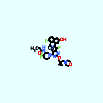 C#Cc1c(F)ccc2cc(O)cc(-c3ncc4c(N5CCCC(F)(F)C(NC(=O)C=C)C5)nc(OCC5(CN6CCOCC6)CC5)nc4c3F)c12